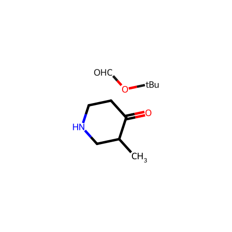 CC(C)(C)OC=O.CC1CNCCC1=O